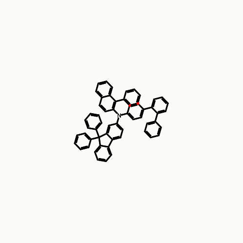 c1ccc(-c2ccccc2-c2ccc(N(c3ccc4c(c3)C(c3ccccc3)(c3ccccc3)c3ccccc3-4)c3ccc4ccccc4c3-c3ccccc3)cc2)cc1